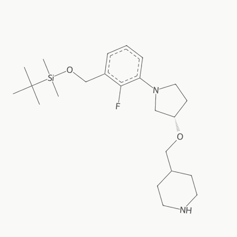 CC(C)(C)[Si](C)(C)OCc1cccc(N2CC[C@H](OCC3CCNCC3)C2)c1F